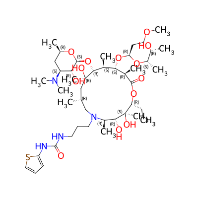 CC[C@H]1OC(=O)[C@H](C)[C@@H](O[C@@H](CCOC)O[C@@H](C)[C@@H](C)O)[C@H](C)[C@@H](O[C@@H]2O[C@H](C)C[C@H](N(C)C)[C@H]2O)[C@](C)(O)C[C@@H](C)CN(CCCNC(=O)Nc2cccs2)[C@H](C)[C@@H](O)[C@]1(C)O